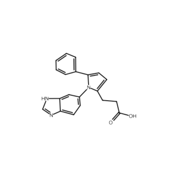 O=C(O)CCc1ccc(-c2ccccc2)n1-c1ccc2nc[nH]c2c1